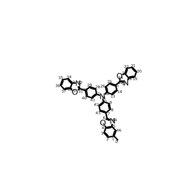 Cc1ccc2oc(-c3ccc(N(c4ccc(-c5nc6ccccc6o5)cc4)c4ccc(-c5nc6ccccc6o5)cc4)cc3)nc2c1